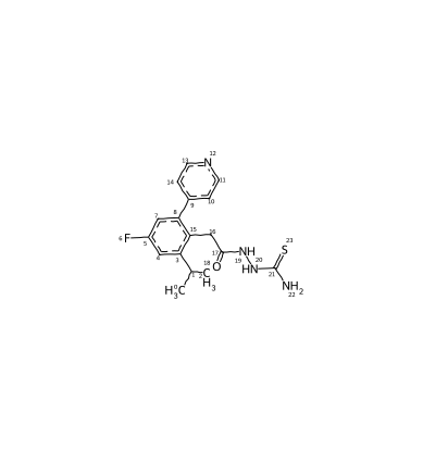 CC(C)c1cc(F)cc(-c2ccncc2)c1CC(=O)NNC(N)=S